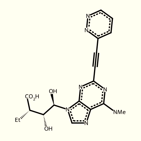 CC[C@H](C(=O)O)[C@@H](O)[C@@H](O)n1cnc2c(NC)nc(C#Cc3cccnn3)nc21